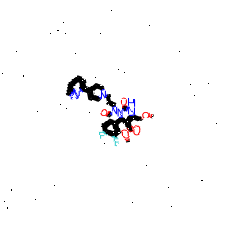 COCC1=C(C(=O)OC)C(c2ccc(F)c(F)c2)N(N(C=O)CCCN2CCC(c3ccccn3)CC2)C(=O)N1